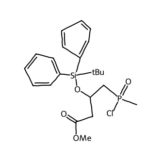 COC(=O)CC(CP(C)(=O)Cl)O[Si](c1ccccc1)(c1ccccc1)C(C)(C)C